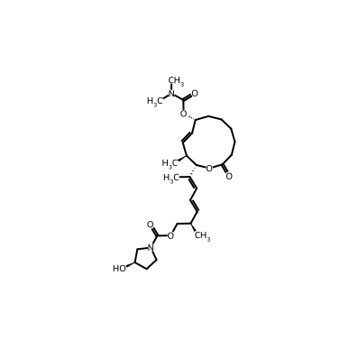 C/C(=C\C=C\[C@@H](C)COC(=O)N1CC[C@@H](O)C1)[C@H]1OC(=O)CCCCC[C@@H](OC(=O)N(C)C)/C=C/[C@@H]1C